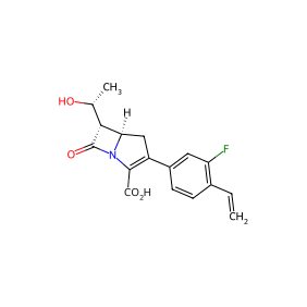 C=Cc1ccc(C2=C(C(=O)O)N3C(=O)[C@H]([C@@H](C)O)[C@H]3C2)cc1F